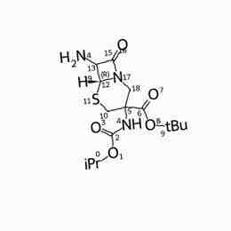 CC(C)OC(=O)NC1(C(=O)OC(C)(C)C)CS[C@@H]2C(N)C(=O)N2C1